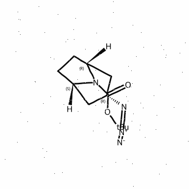 CC(C)(C)OC(=O)N1[C@@H]2CC[C@H]1C[C@@H](N=[N+]=[N-])C2